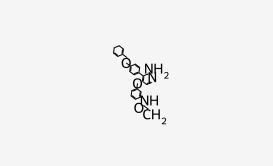 C=CC(=O)Nc1cccc(Oc2ccnc(N)c2-c2ccc(OCC3=CCCC=C3)cc2)c1